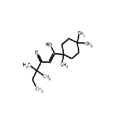 CCC(C)(C)C(=O)/C=C(\O)C1(C)CCC(C)(C)CC1